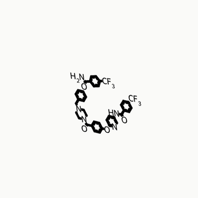 NC(=O)c1ccc(C(F)(F)F)cc1.O=C(Nc1ccc(Oc2ccc(C(=O)N3CCN(Cc4ccccc4)CC3)cc2)nc1)c1ccc(C(F)(F)F)cc1